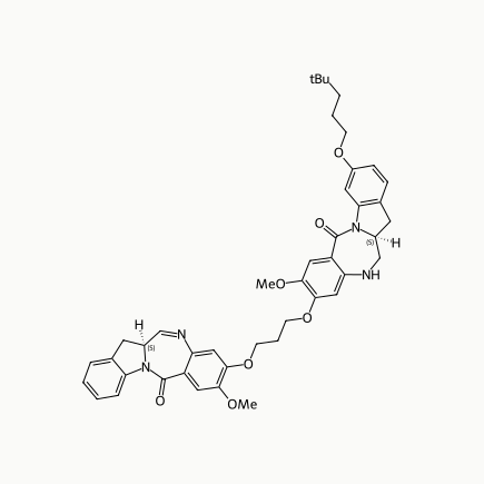 COc1cc2c(cc1OCCCOc1cc3c(cc1OC)C(=O)N1c4cc(OCCCC(C)(C)C)ccc4C[C@H]1CN3)N=C[C@@H]1Cc3ccccc3N1C2=O